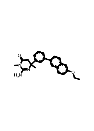 CCOc1ccc2cc(-c3cccc(C4(C)CC(=O)N(C)C(N)=N4)c3)ccc2c1